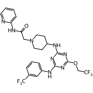 O=C(CN1CCC(Nc2nc(Nc3cccc(C(F)(F)F)c3)nc(OCC(F)(F)F)n2)CC1)Nc1ccccn1